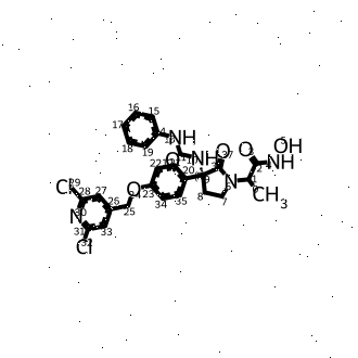 CC(C(=O)NO)N1CC[C@@](NC(=O)Nc2ccccc2)(c2ccc(OCc3cc(Cl)nc(Cl)c3)cc2)C1=O